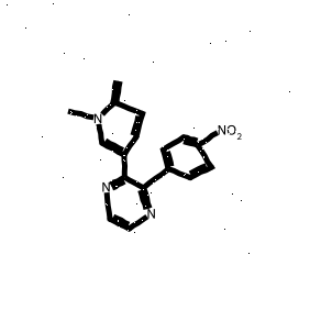 C=C1C=CC(c2nccnc2-c2ccc([N+](=O)[O-])cc2)=CN1C